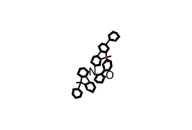 CC1(C)c2cc(-c3ccccc3)ccc2-c2ccc(N(c3cccc4c3-c3ccccc3C4(C)c3ccccc3)c3cccc4oc5ccccc5c34)cc21